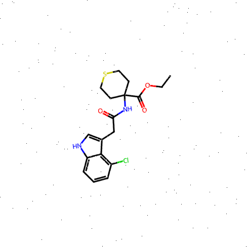 CCOC(=O)C1(NC(=O)Cc2c[nH]c3cccc(Cl)c23)CCSCC1